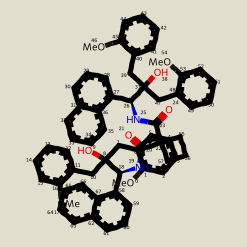 COc1ccccc1CC(O)(Cc1ccccc1OC)[C@@H](NC(=O)C1(C(=O)N[C@@H](c2cccc3ccccc23)C(O)(Cc2ccccc2OC)Cc2ccccc2OC)CCC1)c1cccc2ccccc12